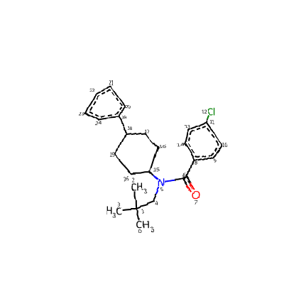 CC(C)(C)CN(C(=O)c1ccc(Cl)cc1)C1CCC(c2ccccc2)CC1